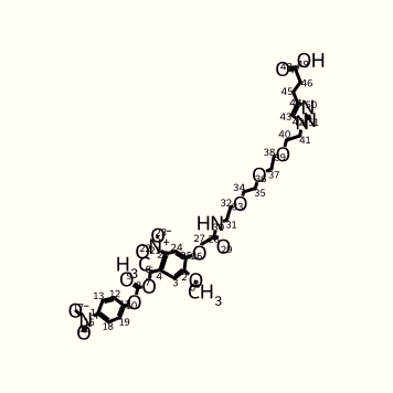 COc1cc(C(C)OC(=O)Oc2ccc([N+](=O)[O-])cc2)c([N+](=O)[O-])cc1OCC(=O)NCCOCCOCCOCCn1cc(CCC(=O)O)nn1